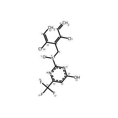 C=C/C(Cl)=C(C[S+]([O-])c1nc(O)cc(C(F)(F)F)n1)\C(Cl)=C/C